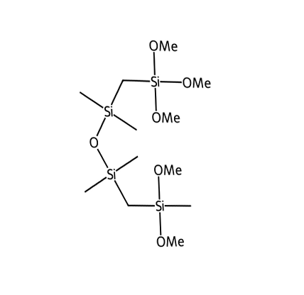 CO[Si](C)(C[Si](C)(C)O[Si](C)(C)C[Si](OC)(OC)OC)OC